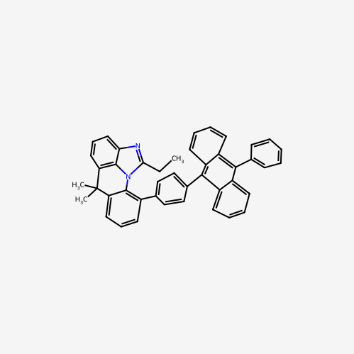 CCc1nc2cccc3c2n1-c1c(-c2ccc(-c4c5ccccc5c(-c5ccccc5)c5ccccc45)cc2)cccc1C3(C)C